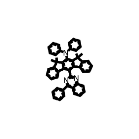 CC1(C)c2ccccc2-c2c(-c3nc(-c4ccccc4)c4ccccc4n3)c3c(c(N(c4ccccc4)c4ccccc4)c21)C(C)(C)c1ccccc1-3